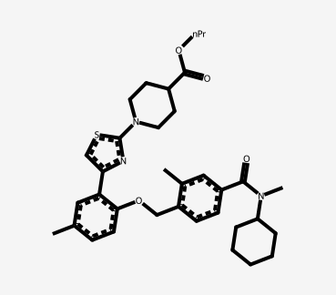 CCCOC(=O)C1CCN(c2nc(-c3cc(C)ccc3OCc3ccc(C(=O)N(C)C4CCCCC4)cc3C)cs2)CC1